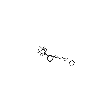 C1CCCC1.COCCOc1cccc(B2OC(C)(C)C(C)(C)O2)c1